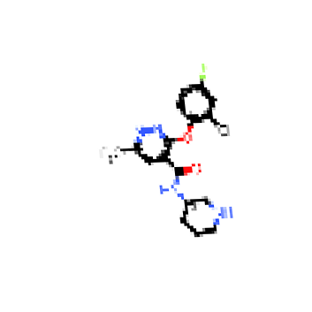 Cc1cc(F)ccc1Oc1nnc(C(F)(F)F)cc1C(=O)N[C@@H]1CCCNC1